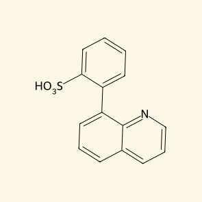 O=S(=O)(O)c1ccccc1-c1cccc2cccnc12